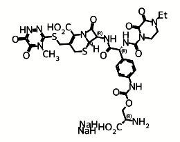 CCN1CCN(C(=O)N[C@@H](C(=O)N[C@@H]2C(=O)N3C(C(=O)O)=C(CSc4n[nH]c(=O)c(=O)n4C)CS[C@H]23)c2ccc(NC(=O)OC[C@@H](N)C(=O)O)cc2)C(=O)C1=O.[NaH].[NaH]